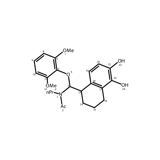 CCCN(C(C)=O)C(Oc1c(OC)cccc1OC)C1CCCc2c1ccc(O)c2O